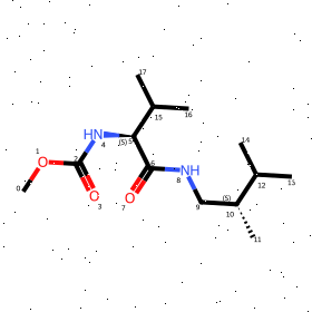 COC(=O)N[C@H](C(=O)NC[C@@H](C)C(C)C)C(C)C